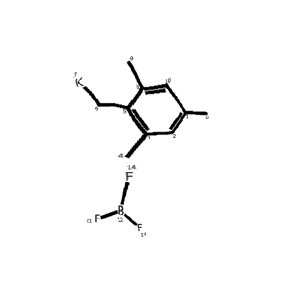 Cc1cc(C)c([CH2][K])c(C)c1.FB(F)F